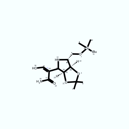 CC1(C)O[C@@H]2[C@@H](CO[Si](C)(C)C(C)(C)C)NC(/C(=C/O)C(N)=O)[C@@H]2O1